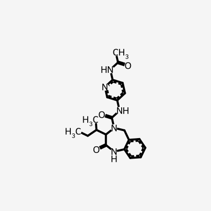 CCC(C)C1C(=O)Nc2ccccc2CN1C(=O)Nc1ccc(NC(C)=O)nc1